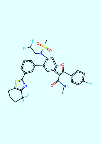 CNC(=O)c1c(-c2ccc(F)cc2)oc2cc(N(CC(F)F)S(C)(=O)=O)c(-c3cccc(-c4nc5c(s4)CCCC5(F)F)c3)cc12